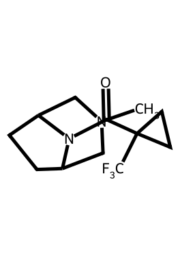 CN1CC2CCC(C1)N2C(=O)C1(C(F)(F)F)CC1